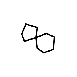 [CH]1CCC2(CC1)CCCC2